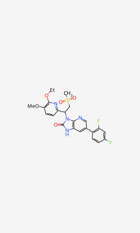 CCOc1nc(C(CS(C)(=O)=O)n2c(=O)[nH]c3cc(-c4ccc(F)cc4F)cnc32)ccc1OC